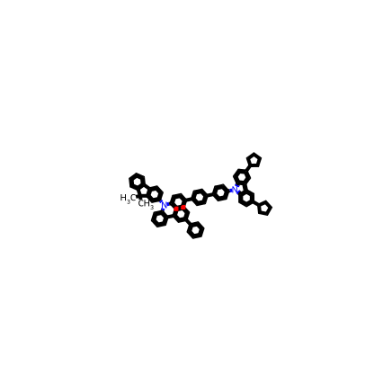 CC1(C)c2ccccc2-c2ccc(N(c3ccc(-c4ccc(-c5ccc(-n6c7ccc(C8CCCC8)cc7c7cc(C8CCCC8)ccc76)cc5)cc4)cc3)c3ccccc3-c3cccc(-c4ccccc4)c3)cc21